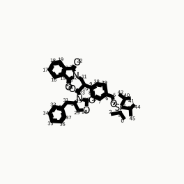 CC(C)[Si](OCc1ccc(C(CN2C(=O)c3ccccc3C2=O)C(=O)N2C(=O)OCC2Cc2ccccc2)cc1)(C(C)C)C(C)C